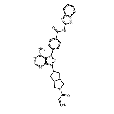 C=CC(=O)N1CC2CC(n3nc(-c4ccc(C(=O)Nc5nc6ccccc6s5)cc4)c4c(N)ncnc43)CC2C1